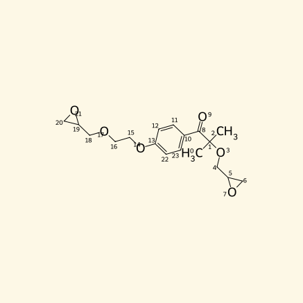 CC(C)(OCC1CO1)C(=O)c1ccc(OCCOCC2CO2)cc1